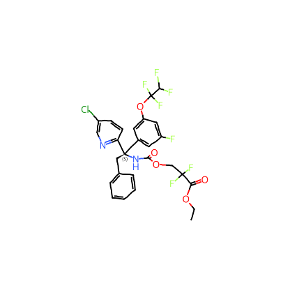 CCOC(=O)C(F)(F)COC(=O)N[C@@](Cc1ccccc1)(c1cc(F)cc(OC(F)(F)C(F)F)c1)c1ccc(Cl)cn1